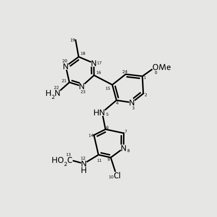 COc1cnc(Nc2cnc(Cl)c(NC(=O)O)c2)c(-c2nc(C)nc(N)n2)c1